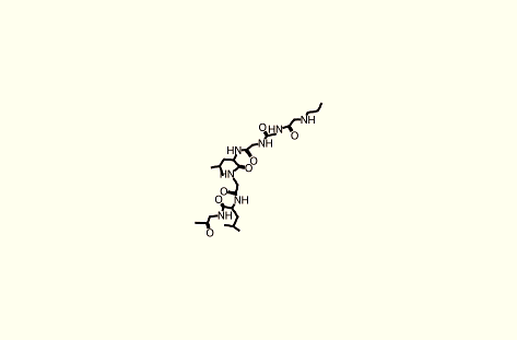 CCCNCC(=O)NCC(=O)NCC(=O)NC(CC(C)C)C(=O)NCC(=O)NC(CC(C)C)C(=O)NCC(C)=O